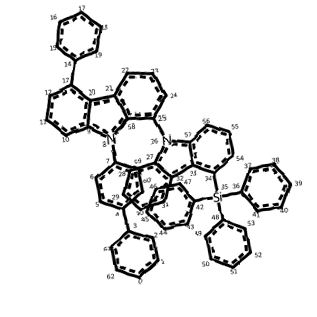 c1ccc(-c2ccc(-n3c4cccc(-c5ccccc5)c4c4cccc(-n5c6ccccc6c6c([Si](c7ccccc7)(c7ccccc7)c7ccccc7)cccc65)c43)cc2)cc1